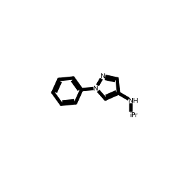 CC(C)Nc1cnn(-c2ccccc2)c1